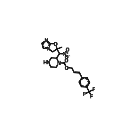 CC1(C(C2CNCCN2C(=O)OCC=Cc2ccc(C(F)(F)F)cc2)[N+](=O)[O-])Cn2ccnc2O1